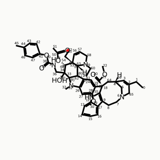 CCC1=C[C@@H]2CN(CCc3c([nH]c4ccccc34)[C@@](C(=O)OC)(c3cc4c(cc3OC)N(C)[C@H]3C(O)(CNC(=O)Oc5ccc(C)cc5)[C@H](OC(C)=O)[C@]5(CC)C=CCN6CC[C@]43[C@@H]65)C2)C1